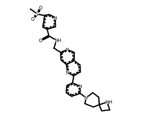 CS(=O)(=O)c1cncc(C(=O)NCc2cc3nc(-c4cccc(N5CCC6(CCN6)CC5)n4)ccc3cn2)c1